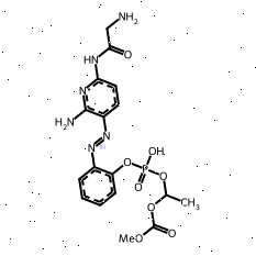 COC(=O)OC(C)OP(=O)(O)Oc1ccccc1/N=N/c1ccc(NC(=O)CN)nc1N